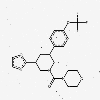 O=C(N1CCOCC1)N1CC(c2ccc(OC(F)(F)F)cc2)CC(c2ncco2)C1